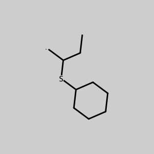 [CH2]C(CC)SC1CCCCC1